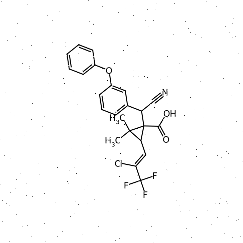 CC1(C)C(C=C(Cl)C(F)(F)F)C1(C(=O)O)C(C#N)c1cccc(Oc2ccccc2)c1